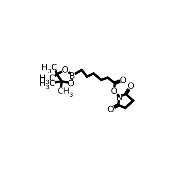 CC1(C)OB(CCCCCC(=O)ON2C(=O)CCC2=O)OC1(C)C